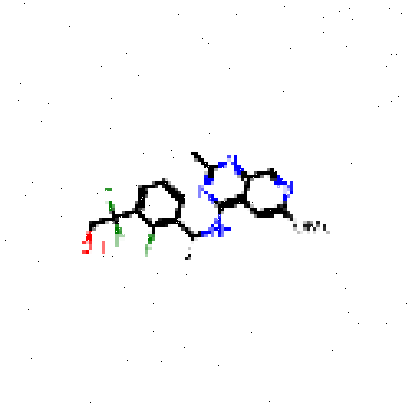 COc1cc2c(N[C@H](C)c3cccc(C(F)(F)CO)c3F)nc(C)nc2cn1